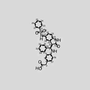 O=C(O)Cc1ccc(N/C(=C2\C(=O)Nc3ccc(NS(=O)(=O)c4ccccc4)cc32)c2ccccc2)cc1